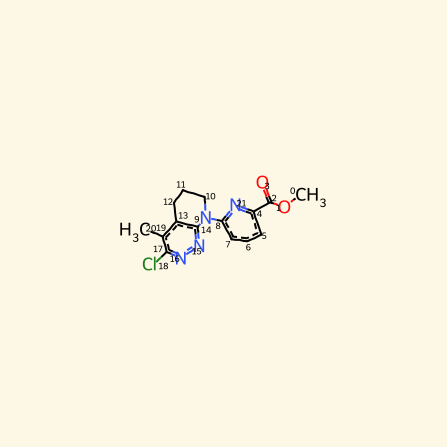 COC(=O)c1cccc(N2CCCc3c2nnc(Cl)c3C)n1